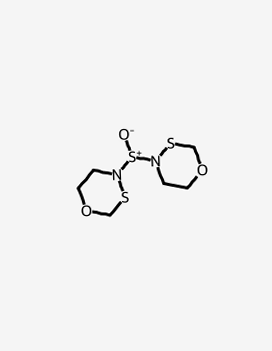 [O-][S+](N1CCOCS1)N1CCOCS1